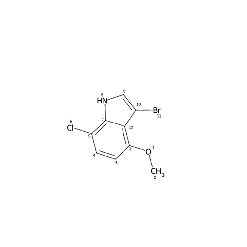 COc1ccc(Cl)c2[nH]cc(Br)c12